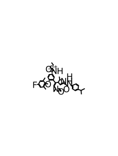 CC[S+]([O-])Nc1ccc(Oc2c(C)cc(F)cc2C)c(/C(=C/N(C)C=O)C2C=C(C(=O)Nc3ccc(C(C)C)cc3)NC2C)c1